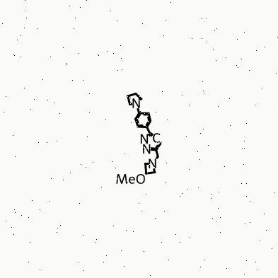 COC1CN(Cc2ccc(-c3ccc(N4CCCC4)cc3)nn2)C1